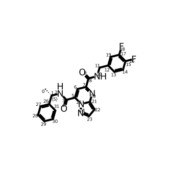 C[C@H](NC(=O)c1cc(C(=O)NCc2ccc(F)c(F)c2)nc2ccnn12)c1ccccc1